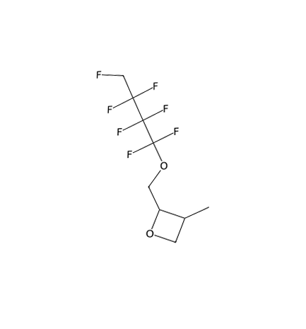 CC1COC1COC(F)(F)C(F)(F)C(F)(F)CF